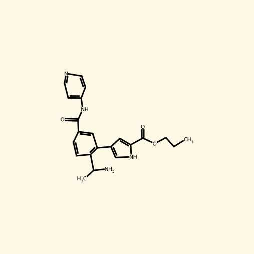 CCCOC(=O)c1cc(-c2cc(C(=O)Nc3ccncc3)ccc2C(C)N)c[nH]1